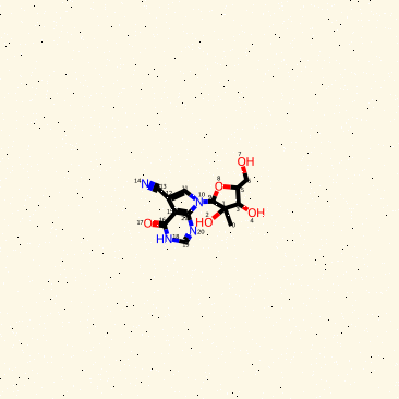 CC1(O)C(O)C(CO)OC1n1cc(C#N)c2c(=O)[nH]cnc21